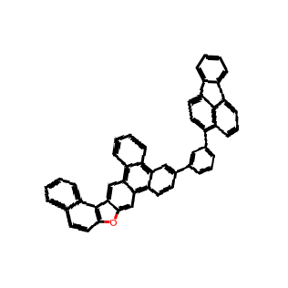 c1cc(-c2ccc3c(c2)c2ccccc2c2cc4c(cc32)oc2ccc3ccccc3c24)cc(-c2ccc3c4c(cccc24)-c2ccccc2-3)c1